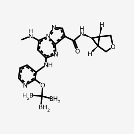 BC(B)(B)Oc1ncccc1Nc1cc(NC)n2ncc(C(=O)N[C@H]3[C@@H]4COC[C@@H]43)c2n1